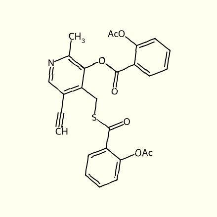 C#Cc1cnc(C)c(OC(=O)c2ccccc2OC(C)=O)c1CSC(=O)c1ccccc1OC(C)=O